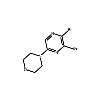 CC(C)c1nc(N2CCOCC2)cnc1Br